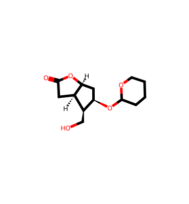 O=C1C[C@@H]2[C@H](CO)[C@H](OC3CCCCO3)C[C@@H]2O1